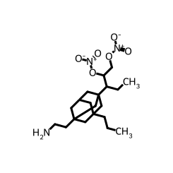 CCCC12CC3CC(CCN)(C1)CC(C(CC)C(CO[N+](=O)[O-])O[N+](=O)[O-])(C3)C2